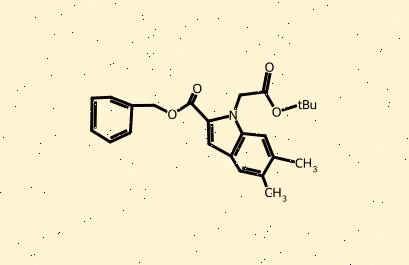 Cc1cc2cc(C(=O)OCc3ccccc3)n(CC(=O)OC(C)(C)C)c2cc1C